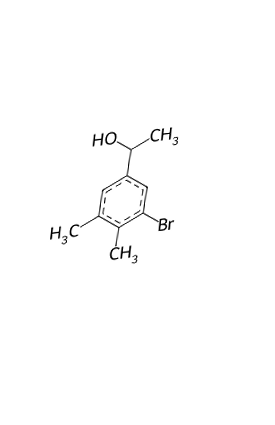 Cc1cc(C(C)O)cc(Br)c1C